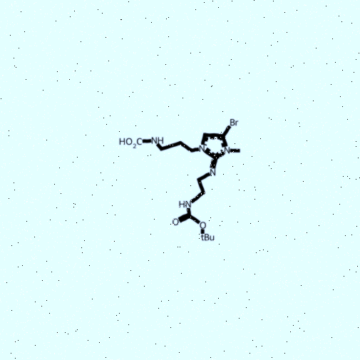 Cn1c(Br)cn(CCCNC(=O)O)c1=NCCNC(=O)OC(C)(C)C